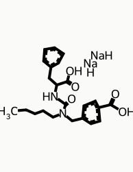 CCCCCN(Cc1ccc(C(=O)O)cc1)C(=O)NC(Cc1ccccc1)C(=O)O.[NaH].[NaH]